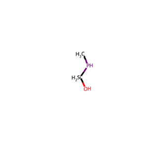 CP[SiH2]O